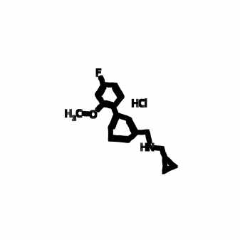 COc1cc(F)ccc1-c1cccc(CNCC2CC2)c1.Cl